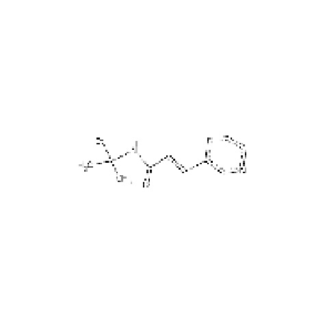 CCC(C)(C)NC(=O)/C=C/c1cccnc1